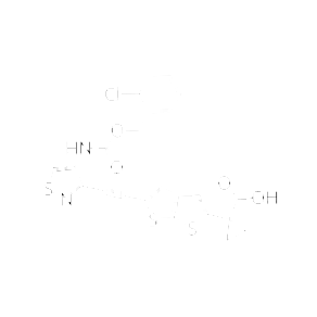 Cc1snc(C#Cc2cc3cc(C4(C(=O)O)CC4)sc3s2)c1NC(=O)OCc1ccccc1Cl